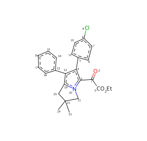 CCOC(=O)C(=O)c1c(-c2ccc(Cl)cc2)c(-c2ccccc2)c2n1CC(C)(C)C2